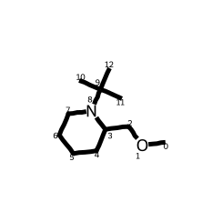 COCC1CCCCN1C(C)(C)C